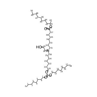 CCCCCCCCOP(OCCCCCCCC)OCCCCCCCN(CCO)CCCCCCCC(=O)OC(C)CCCCCCCC